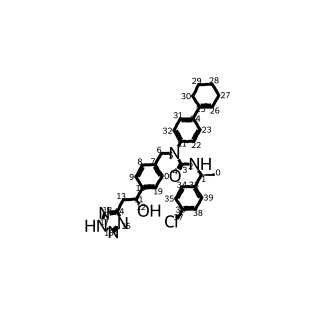 C[C@H](NC(=O)N(Cc1ccc([C@@H](O)Cc2nn[nH]n2)cc1)c1ccc(C2=CCCCC2)cc1)c1ccc(Cl)cc1